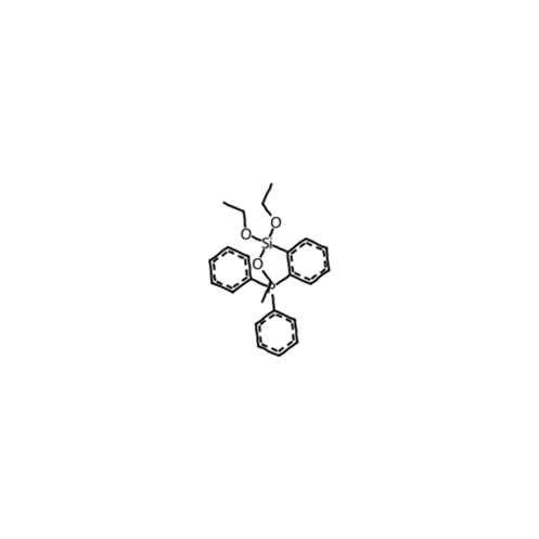 CCO[Si](OCC)(OCC)c1ccccc1P(c1ccccc1)c1ccccc1